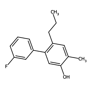 CCCc1cc(C)c(O)cc1-c1cccc(F)c1